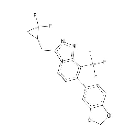 FC(F)(F)c1c(-c2ccc3c(c2)OCO3)ccn2c(CC3CC3(F)F)nnc12